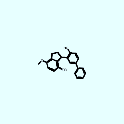 COc1ccc(O)c2c1CCC2c1cc(-c2ccccc2)ccc1O